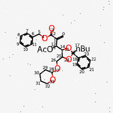 C=C(C(=O)OCc1ccccc1)C(OC(C)=O)C1OC(CCCC)(c2ccccc2)OC1COC1CCCCO1